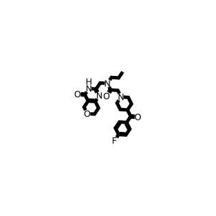 CCCN(Cc1nc2c(c(=O)[nH]1)COCC2)C(=O)CN1CCC(C(=O)c2ccc(F)cc2)CC1